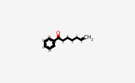 C=CCCCCC(=O)c1ccccc1